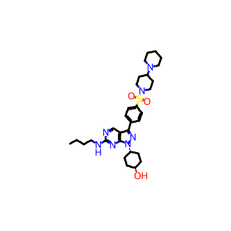 CCCCNc1ncc2c(-c3ccc(S(=O)(=O)N4CCC(N5CCCCC5)CC4)cc3)nn([C@H]3CC[C@H](O)CC3)c2n1